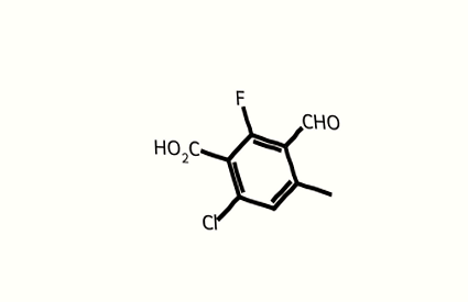 Cc1cc(Cl)c(C(=O)O)c(F)c1C=O